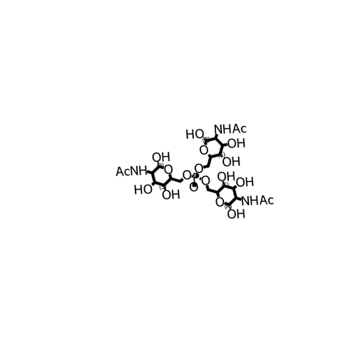 CC(=O)NC1C(O)[C@H](O)C(COP(=O)(OCC2O[C@@H](O)C(NC(C)=O)C(O)[C@@H]2O)OCC2O[C@@H](O)C(NC(C)=O)C(O)[C@@H]2O)O[C@H]1O